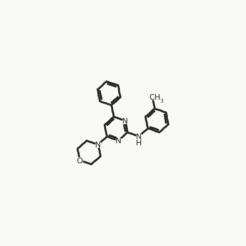 Cc1cccc(Nc2nc(-c3ccccc3)cc(N3CCOCC3)n2)c1